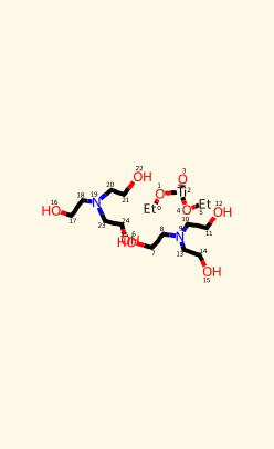 CC[O][Ti](=[O])[O]CC.OCCN(CCO)CCO.OCCN(CCO)CCO